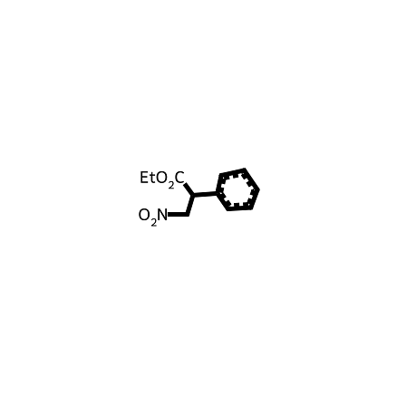 CCOC(=O)C(C[N+](=O)[O-])c1ccccc1